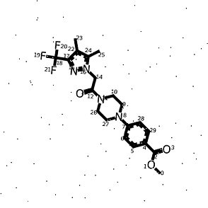 COC(=O)c1ccc(N2CCN(C(=O)Cn3nc(C(F)(F)F)c(C)c3C)CC2)cc1